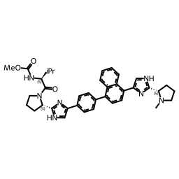 COC(=O)N[C@H](C(=O)N1CCC[C@H]1c1nc(-c2ccc(-c3ccc(-c4c[nH]c([C@@H]5CCCN5C)n4)c4ccccc34)cc2)c[nH]1)C(C)C